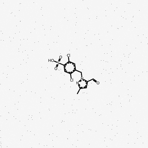 Cc1cc(C=O)n(Cc2cc(Cl)c(S(=O)(=O)O)cc2Cl)n1